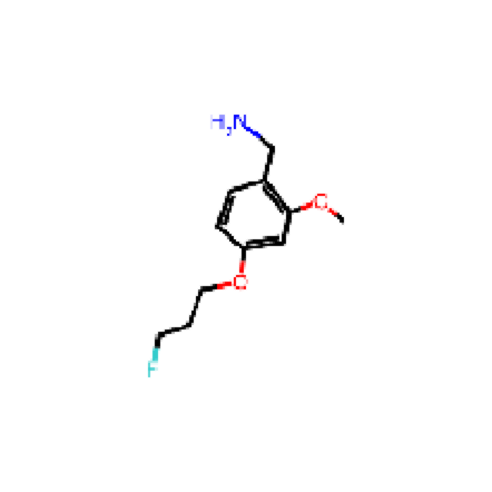 COc1cc(OCCCF)ccc1CN